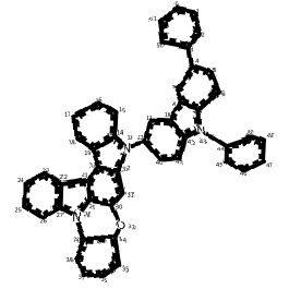 c1ccc(-c2ccc3c(c2)c2cc(-n4c5ccccc5c5c6c7ccccc7n7c6c(cc54)Oc4ccccc4-7)ccc2n3-c2ccccc2)cc1